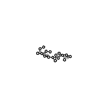 c1ccc(-c2cccc(-n3c4ccccc4c4cc5c6ccc7c8ccc(-c9ccc%10c(c9)-c9ccccc9C%10(c9ccccc9)c9cccc(-n%10c%11ccccc%11c%11cc%12c%13ccc%14c%15ccccc%15oc%14c%13n(-c%13ccccc%13)c%12cc%11%10)c9)cc8oc7c6n(-c6cccc(-c7ccccc7)c6)c5cc43)c2)cc1